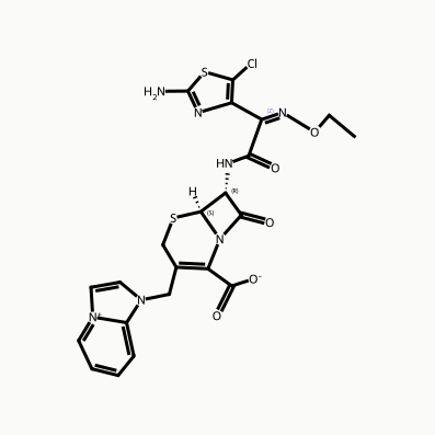 CCO/N=C(\C(=O)N[C@@H]1C(=O)N2C(C(=O)[O-])=C(Cn3cc[n+]4ccccc34)CS[C@@H]12)c1nc(N)sc1Cl